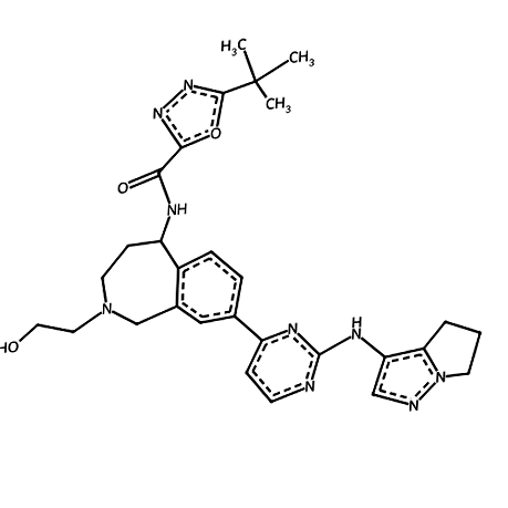 CC(C)(C)c1nnc(C(=O)NC2CCN(CCO)Cc3cc(-c4ccnc(Nc5cnn6c5CCC6)n4)ccc32)o1